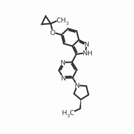 CC[C@@H]1CCN(c2cc(-c3[nH]nc4ccc(OC5(C)CC5)cc34)ncn2)C1